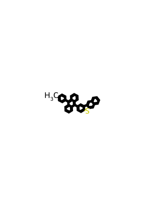 Cc1ccc(-c2c3ccccc3c(-c3ccc4sc5cc6ccccc6cc5c4c3)c3ccccc23)cc1